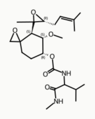 CNC(=O)C(NC(=O)O[C@@H]1CCC2(CO2)[C@@H](C2(C)O[C@@H]2CC=C(C)C)[C@@H]1OC)C(C)C